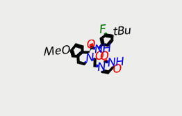 COc1ccc2c(c1)CCN(C(=O)Cn1ccc(=O)[nH]c1=O)[C@H]2C(=O)Nc1ccc(C(C)(C)C)c(F)c1